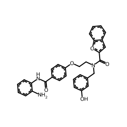 Nc1ccccc1NC(=O)c1ccc(OCCN(Cc2cccc(O)c2)C(=O)c2cc3ccccc3o2)cc1